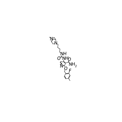 Cc1ccc(COc2nsc(NC(=O)NCCCCN3CC4CC3CN4C)c2C(N)=O)c(F)c1